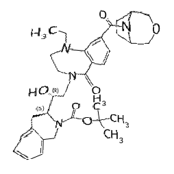 CCN1CCN(C[C@@H](O)[C@@H]2Cc3ccccc3CN2C(=O)OC(C)(C)C)C(=O)c2ccc(C(=O)N3C4CCC3COC4)cc21